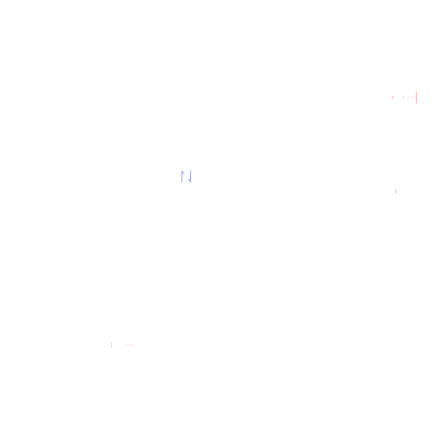 COc1cc(/C=N/c2ccc(C)c(O)c2)ccc1O